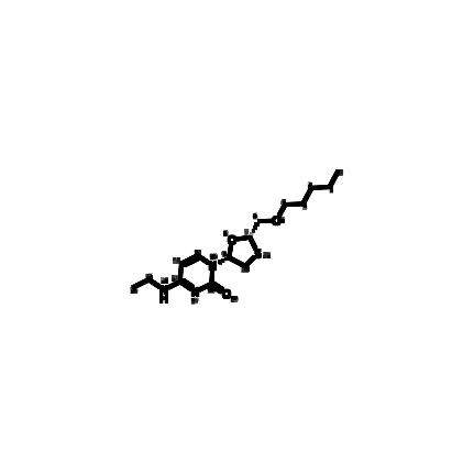 CCCCCOC[C@H]1O[C@@H](n2ccc(NCC)nc2=O)CS1